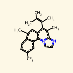 CC(C)=C(C)c1c(C)c2nccn2c2c1cc(C)c1ccc(C(F)(F)F)cc12